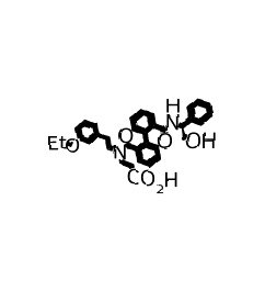 CCOc1cccc(CCN(CCC(=O)O)C(=O)c2ccccc2-c2ccccc2C(=O)N[C@H](CO)c2ccccc2)c1